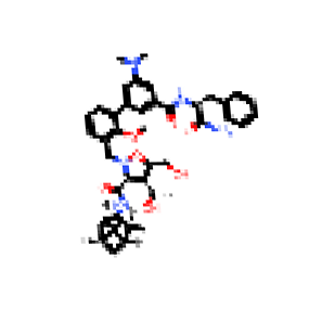 COc1c(CN2O[C@@H](CO)[C@@H]([C@H](C)O)[C@H]2C(=O)N[C@@H]2C[C@H]3C[C@@H]([C@@H]2C)C3(C)C)cccc1-c1cc(C(=O)N[C@@H](Cc2ccccc2)C(N)=O)cc(N(C)C)c1